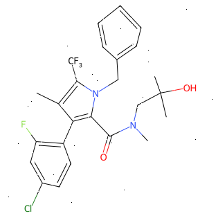 Cc1c(-c2ccc(Cl)cc2F)c(C(=O)N(C)CC(C)(C)O)n(Cc2ccccc2)c1C(F)(F)F